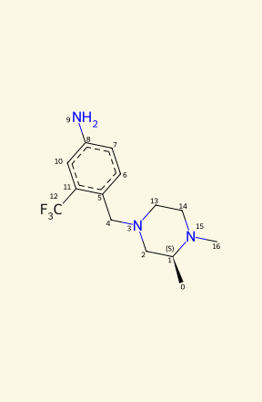 C[C@H]1CN(Cc2ccc(N)cc2C(F)(F)F)CCN1C